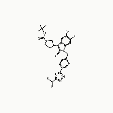 CC(C)(C)OC(=O)N1CCC(n2c(=O)n(Cc3ccc(-c4nnc(C(F)F)o4)cn3)c3cc(F)c(Br)cc32)C1